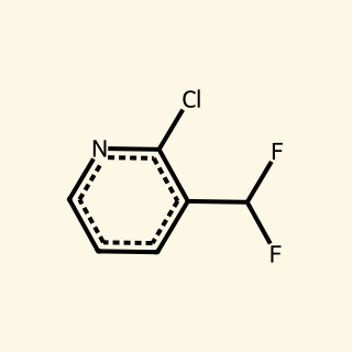 FC(F)c1cccnc1Cl